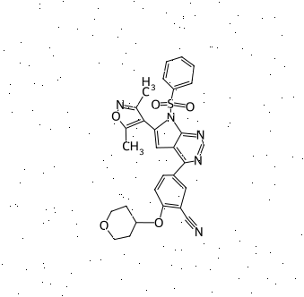 Cc1noc(C)c1-c1cc2c(-c3ccc(OC4CCOCC4)c(C#N)c3)ncnc2n1S(=O)(=O)c1ccccc1